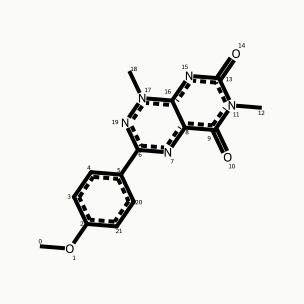 COc1ccc(-c2nc3c(=O)n(C)c(=O)nc-3n(C)n2)cc1